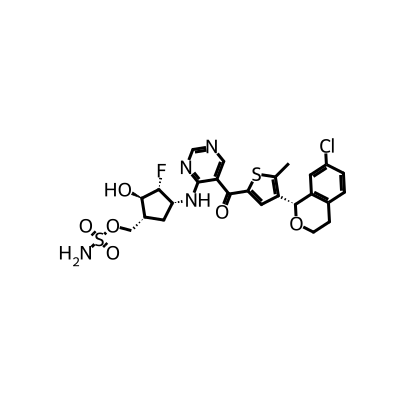 Cc1sc(C(=O)c2cncnc2N[C@@H]2C[C@H](COS(N)(=O)=O)[C@@H](O)[C@@H]2F)cc1[C@H]1OCCc2ccc(Cl)cc21